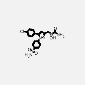 NC(=O)N(O)Cc1cc(-c2ccc(Cl)cc2)n(-c2ccc(S(N)(=O)=O)cc2)n1